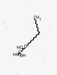 CCCCCCCC/C=C\CCCCCCCCOC[C@@H](O)COP(O)O